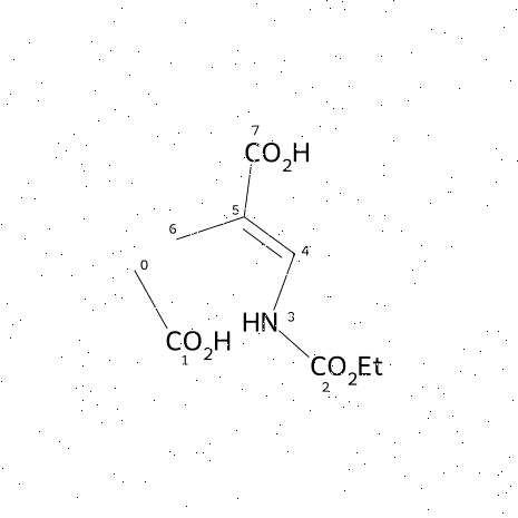 CC(=O)O.CCOC(=O)NC=C(C)C(=O)O